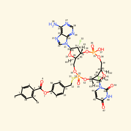 Cc1ccc(C(=O)Oc2ccc(CS[P@@]3(=O)OC[C@H]4O[C@@H](n5cnc6c(N)ncnc65)[C@H](F)[C@@H]4OP(=O)(O)OC[C@H]4O[C@@H](n5ccc(=O)[nH]c5=O)[C@H](O3)[C@@H]4F)cc2)c(C)c1